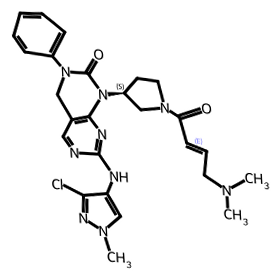 CN(C)C/C=C/C(=O)N1CC[C@H](N2C(=O)N(c3ccccc3)Cc3cnc(Nc4cn(C)nc4Cl)nc32)C1